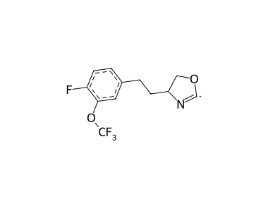 Fc1ccc(CCC2CO[C]=N2)cc1OC(F)(F)F